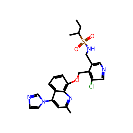 CCC(C)S(=O)(=O)NCc1cncc(Cl)c1COc1cccc2c(-n3ccnc3)cc(C)nc12